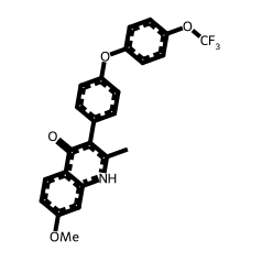 COc1ccc2c(=O)c(-c3ccc(Oc4ccc(OC(F)(F)F)cc4)cc3)c(C)[nH]c2c1